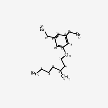 CC(C)CCCC(C)CCOc1cc(CBr)cc(CBr)c1